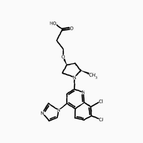 C[C@@H]1C[C@H](OCCC(=O)O)CN1c1cc(-n2ccnc2)c2ccc(Cl)c(Cl)c2n1